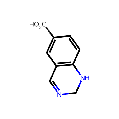 O=C(O)c1ccc2c(c1)C=NCN2